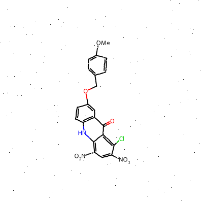 COc1ccc(COc2ccc3[nH]c4c([N+](=O)[O-])cc([N+](=O)[O-])c(Cl)c4c(=O)c3c2)cc1